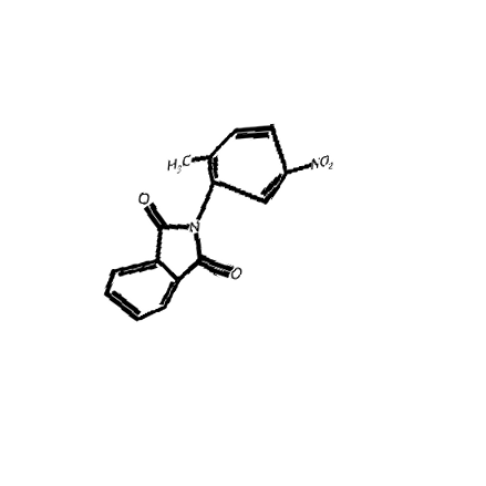 Cc1ccc([N+](=O)[O-])cc1N1C(=O)c2ccccc2C1=O